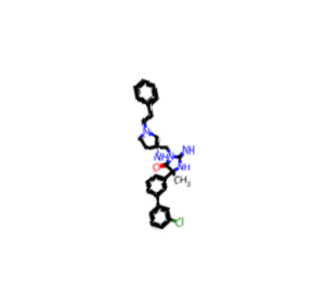 CC1(c2cccc(-c3cccc(Cl)c3)c2)NC(=N)N(C[C@@]2(N)CCN(CCc3ccccc3)C2)C1=O